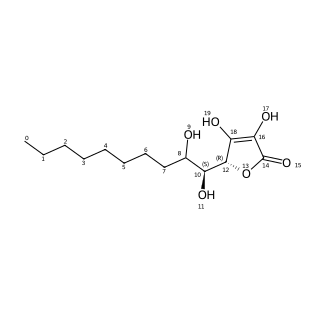 CCCCCCCCC(O)[C@H](O)[C@H]1OC(=O)C(O)=C1O